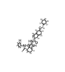 C=C(Nc1ncc[nH]1)c1cccc2[nH]c(NC(=O)c3cc4ccc(OCc5ccccc5)cc4cn3)nc12